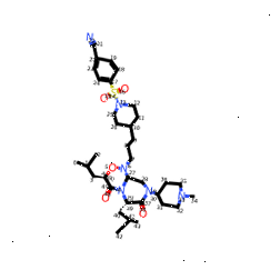 CC(C)C[C@H]1ON(CCCC2CCN(S(=O)(=O)c3ccc(C#N)cc3)CC2)C2CN(C3CCN(C)CC3)C(=O)[C@H](CC(C)C)N2C1=O